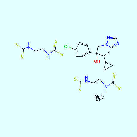 CC(C1CC1)C(O)(Cn1cncn1)c1ccc(Cl)cc1.S=C([S-])NCCNC(=S)[S-].S=C([S-])NCCNC(=S)[S-].[Mn+2].[Zn+2]